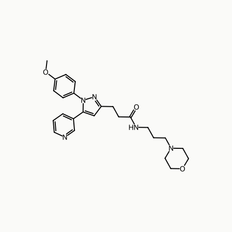 COc1ccc(-n2nc(CCC(=O)NCCCN3CCOCC3)cc2-c2cccnc2)cc1